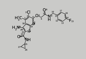 Cc1c(Cl)c(OCC(=O)NCc2ccc(F)cc2)nc2sc(C(=O)NC3CC3)c(N)c12